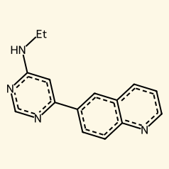 CCNc1cc(-c2ccc3ncccc3c2)ncn1